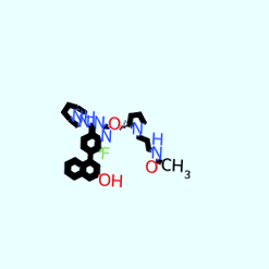 CC(=O)NCCCN1CCC[C@H]1COc1nc(N2CC3CCC(C2)N3)c2ccc(-c3cc(O)cc4ccccc34)c(F)c2n1